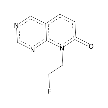 O=c1ccc2cncnc2n1CCF